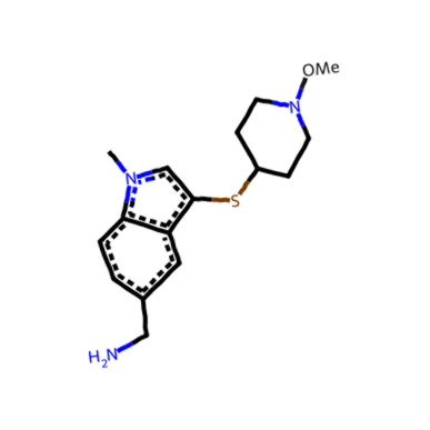 CON1CCC(Sc2cn(C)c3ccc(CN)cc23)CC1